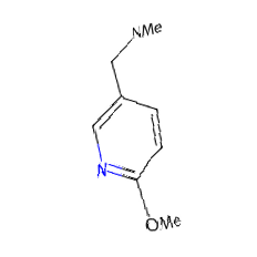 CNCc1ccc(OC)nc1